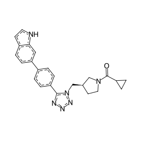 O=C(C1CC1)N1CC[C@@H](Cn2nnnc2-c2ccc(-c3ccc4cc[nH]c4c3)cc2)C1